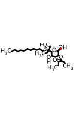 CCCCCCCCCCCCOC(CC)(CC)C1O/C(=C\O)[C@@H](OC(CC)CCC)[C@H](O)[C@H]1O